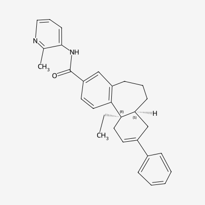 CC[C@@]12CC=C(c3ccccc3)C[C@@H]1CCCc1cc(C(=O)Nc3cccnc3C)ccc12